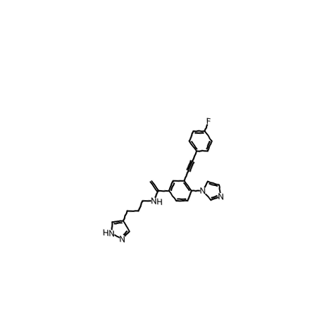 C=C(NCCCc1cn[nH]c1)c1ccc(-n2ccnc2)c(C#Cc2ccc(F)cc2)c1